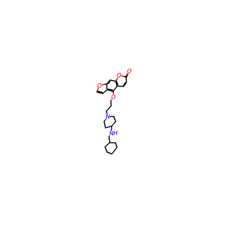 O=c1ccc2c(OCCCN3CCC(NCC4CCCCC4)CC3)c3ccoc3cc2o1